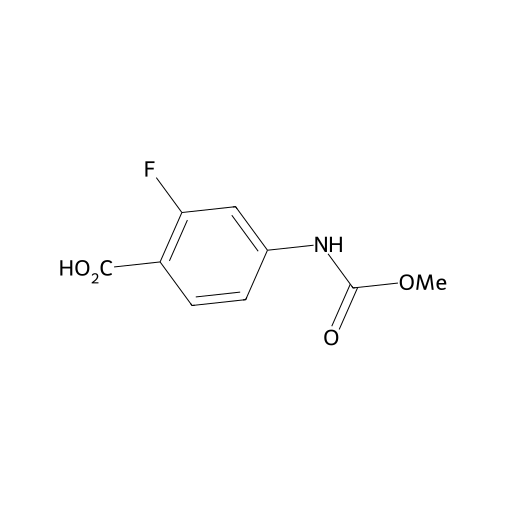 COC(=O)Nc1ccc(C(=O)O)c(F)c1